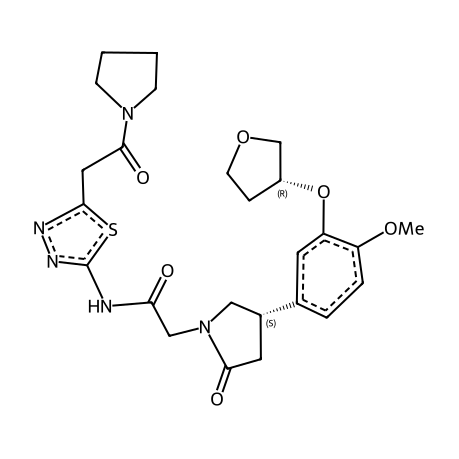 COc1ccc([C@@H]2CC(=O)N(CC(=O)Nc3nnc(CC(=O)N4CCCC4)s3)C2)cc1O[C@@H]1CCOC1